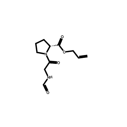 C=CCOC(=O)[C@H]1CCCN1C(=O)CNC=O